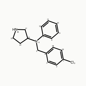 Clc1ccc(CN(c2ccccc2)C2CCNC2)cc1